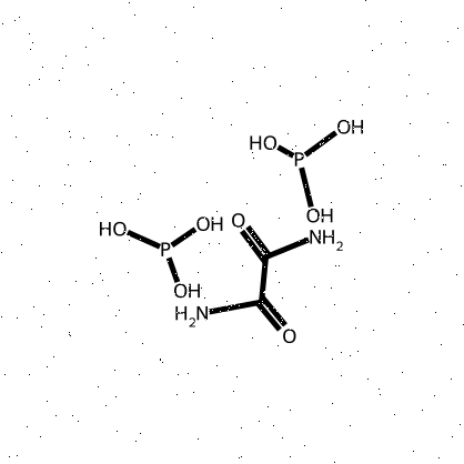 NC(=O)C(N)=O.OP(O)O.OP(O)O